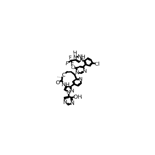 C[C@@H]1CCC[C@H](n2cnc(-c3cc(Cl)ccc3N3C=C(C(F)(F)F)NN3)cc2=O)c2cc(ccn2)-c2nn(-c3cncnc3O)cc2NC1=O